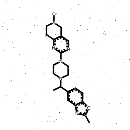 Cc1nc2cc(C(C)N3CCN(c4ncc5c(n4)CC[S+]([O-])C5)CC3)ccc2o1